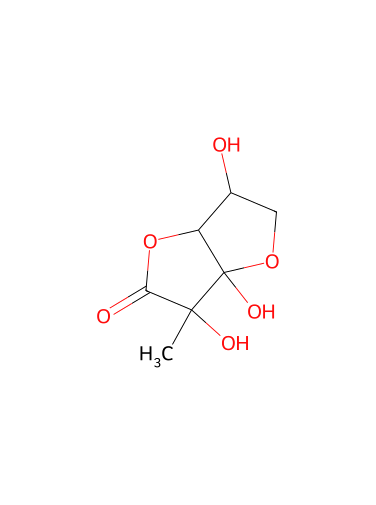 CC1(O)C(=O)OC2C(O)COC21O